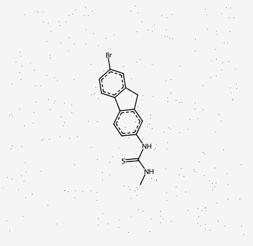 CNC(=S)Nc1ccc2c(c1)Cc1cc(Br)ccc1-2